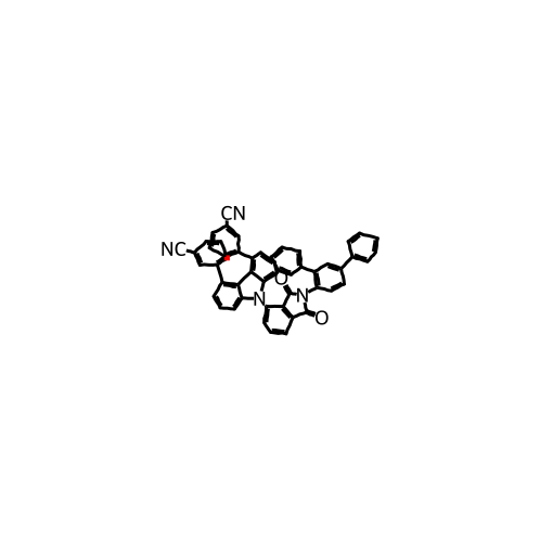 N#Cc1cccc(-c2cccc3c2c2c(-c4cccc(C#N)c4)cccc2n3-c2cccc3c2C(=O)N(c2ccc(-c4ccccc4)cc2-c2ccccc2)C3=O)c1